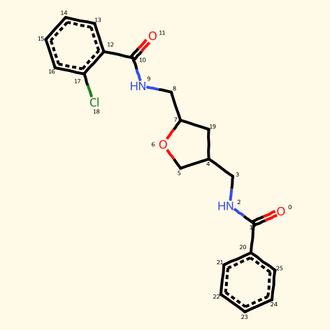 O=C(NCC1COC(CNC(=O)c2ccccc2Cl)C1)c1ccccc1